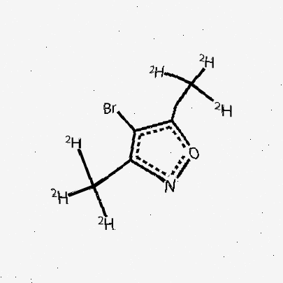 [2H]C([2H])([2H])c1noc(C([2H])([2H])[2H])c1Br